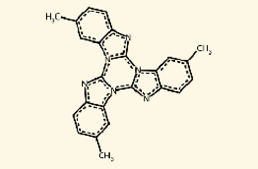 Cc1ccc2nc3n(c2c1)c1nc2ccc(C)cc2n1c1nc2ccc(C)cc2n31